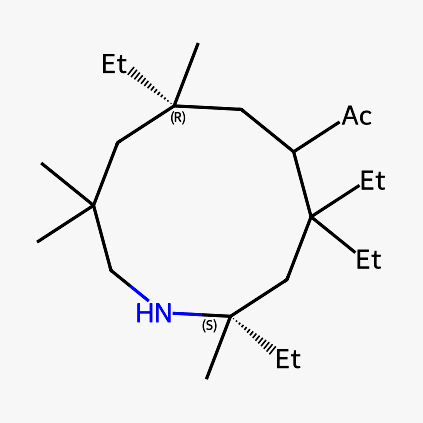 CCC1(CC)C[C@](C)(CC)NCC(C)(C)C[C@](C)(CC)CC1C(C)=O